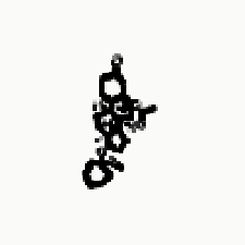 COC1(O[C@H]2CC[C@H]3[C@@H]4CC=C5CC(=O)CC[C@]5(COC(C)=O)[C@H]4CC[C@]23C)CCCCC1